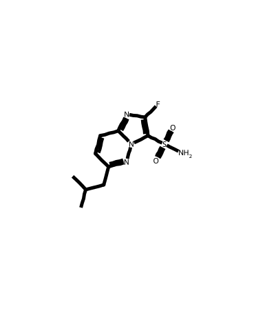 CC(C)Cc1ccc2nc(F)c(S(N)(=O)=O)n2n1